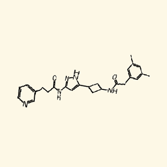 Cc1cc(C)cc(CC(=O)NC2CC(c3cc(NC(=O)CCc4cccnc4)n[nH]3)C2)c1